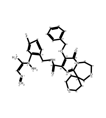 C=N/C=C(/C)N(N)c1cc(F)ccc1CNC(=O)c1nc2n(c(=O)c1OCc1ccccc1)CCOCC21CCOCC1